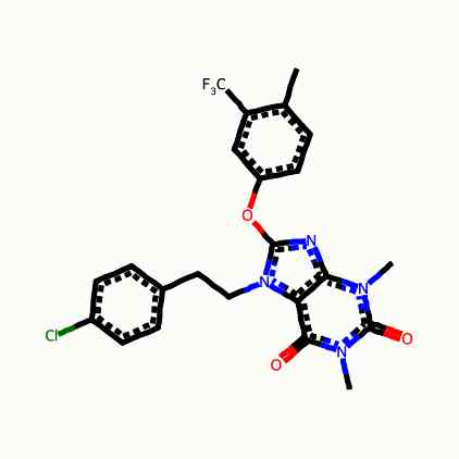 Cc1ccc(Oc2nc3c(c(=O)n(C)c(=O)n3C)n2CCc2ccc(Cl)cc2)cc1C(F)(F)F